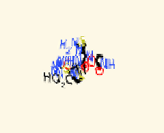 Nc1nc(/C(=N/OC2CCNC2=O)C(=O)N[C@@H]2C(=O)[N+]3(CSc4nnnn4N)C(C(=O)O)=CCS[C@@H]23)cs1